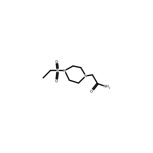 CCS(=O)(=O)N1CCN(CC(N)=O)CC1